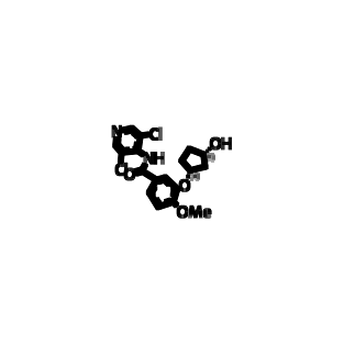 COc1ccc(C(=O)Nc2c(Cl)cncc2Cl)cc1O[C@@H]1CC[C@H](O)C1